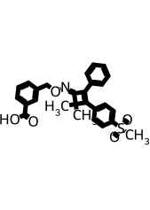 CC1(C)C(=NOCc2cccc(C(=O)O)c2)C(c2ccccc2)=C1c1ccc(S(C)(=O)=O)cc1